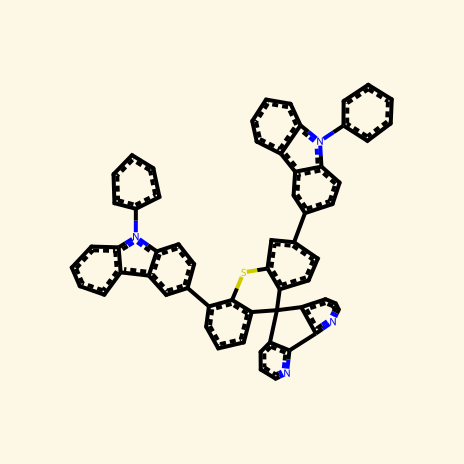 c1ccc(-n2c3ccccc3c3cc(-c4ccc5c(c4)Sc4c(-c6ccc7c(c6)c6ccccc6n7-c6ccccc6)cccc4C54c5cccnc5-c5ncccc54)ccc32)cc1